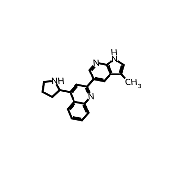 Cc1c[nH]c2ncc(-c3cc(C4CCCN4)c4ccccc4n3)cc12